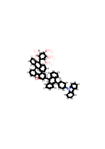 Bc1c(B)c(B)c(-c2c3ccccc3c(-c3cccc4oc5cc(-c6c7ccccc7c(-c7ccc(-n8c9ccccc9c9ccccc98)cc7)c7ccccc67)ccc5c34)c3ccccc23)c(B)c1B